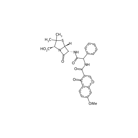 COc1ccc2c(=O)c(C(=O)NC(C(=O)N[C@@H]3C(=O)N4[C@@H]3SC(C)(C)[C@@H]4C(=O)O)c3ccccc3)coc2c1